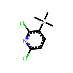 C[Si](C)(C)c1ccc(Cl)nc1Cl